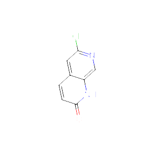 O=c1ccc2cc(Cl)ncc2[nH]1